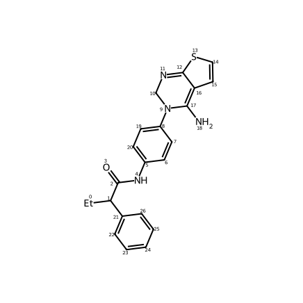 CCC(C(=O)Nc1ccc(N2CN=c3sccc3=C2N)cc1)c1ccccc1